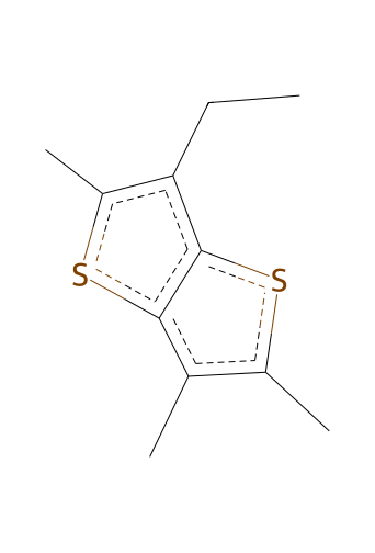 CCc1c(C)sc2c(C)c(C)sc12